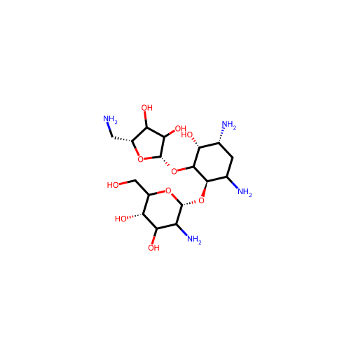 NC[C@H]1O[C@@H](OC2[C@H](O[C@H]3OC(CO)[C@@H](O)C(O)C3N)C(N)C[C@@H](N)[C@H]2O)C(O)C1O